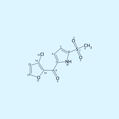 CS(=O)(=O)c1ccc(C(=O)c2occc2Cl)[nH]1